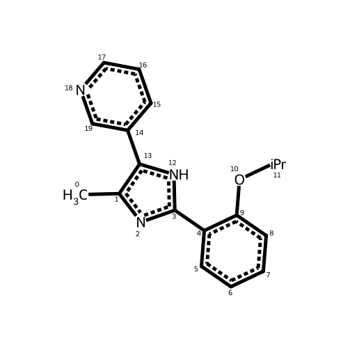 Cc1nc(-c2ccccc2OC(C)C)[nH]c1-c1cccnc1